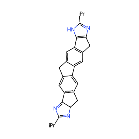 CC(C)C1=NC2Cc3cc4c(cc3C2=N1)Cc1cc2c(cc1-4)Cc1nc(C(C)C)[nH]c1-2